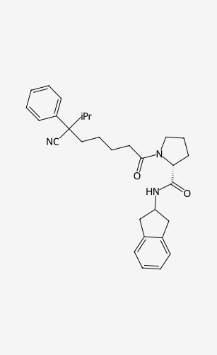 CC(C)C(C#N)(CCCCC(=O)N1CCC[C@@H]1C(=O)NC1Cc2ccccc2C1)c1ccccc1